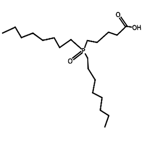 CCCCCCCCP(=O)(CCCCCCCC)CCCCC(=O)O